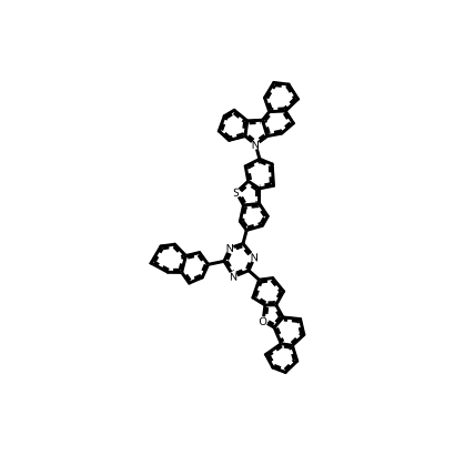 c1ccc2cc(-c3nc(-c4ccc5c(c4)oc4c6ccccc6ccc54)nc(-c4ccc5c(c4)sc4cc(-n6c7ccccc7c7c8ccccc8ccc76)ccc45)n3)ccc2c1